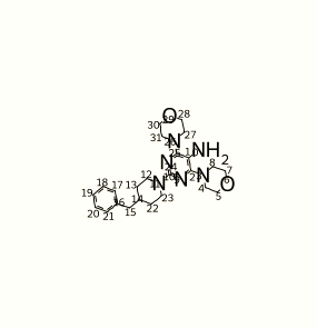 Nc1c(N2CCOCC2)nc(N2CCC(Cc3ccccc3)CC2)nc1N1CCOCC1